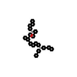 c1ccc(-c2ccc(N(c3ccc(-c4ccc5ccccc5c4)cc3)c3ccc4ccc5c6cc(-c7cc(-c8ccc(N(c9ccc%10ccc%11c%12ccccc%12ccc%11c%10c9)c9ccccc9-c9ccccc9)cc8)c8ccccc8c7)ccc6ccc5c4c3)cc2)cc1